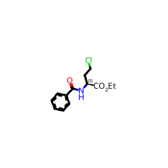 CCOC(=O)[C@H](CCCl)NC(=O)c1ccccc1